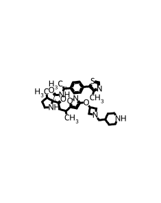 Cc1ncsc1-c1ccc([C@H](C)NC(=O)[C@]2(C(=O)CC(C)c3cc(OC4CN(CC5CCNCC5)C4)no3)NCCC2C)cc1